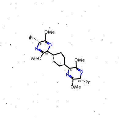 COC1=N[C@@H]([C@H]2CC[C@H]([C@@H]3N=C(OC)[C@@H](C(C)C)N=C3OC)CC2)C(OC)=N[C@@H]1C(C)C